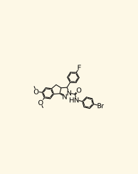 COc1cc2c(cc1OC)C1=NN(C(=O)Nc3ccc(Br)cc3)C(c3ccc(F)cc3)C1C2